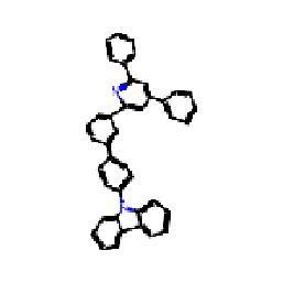 c1ccc(-c2cc(-c3ccccc3)nc(-c3cccc(-c4ccc(-n5c6ccccc6c6ccccc65)cc4)c3)c2)cc1